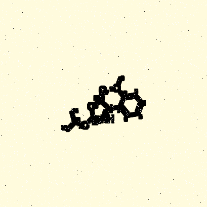 COc1ccccc1N1NC(OC(C)C)OC1=O